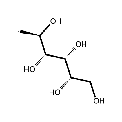 [CH2][C@@H](O)[C@@H](O)[C@H](O)[C@@H](O)CO